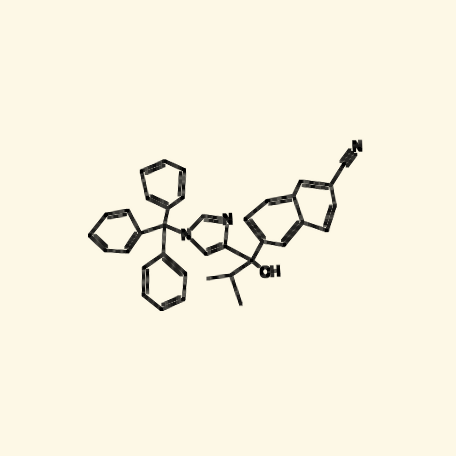 CC(C)C(O)(c1ccc2cc(C#N)ccc2c1)c1cn(C(c2ccccc2)(c2ccccc2)c2ccccc2)cn1